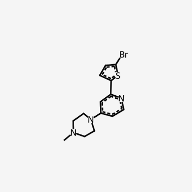 CN1CCN(c2ccnc(-c3ccc(Br)s3)c2)CC1